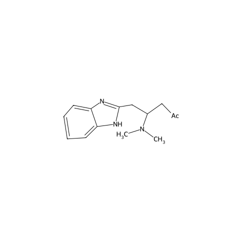 CC(=O)CC(Cc1nc2ccccc2[nH]1)N(C)C